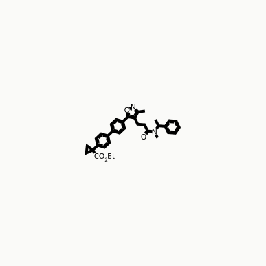 CCOC(=O)C1(c2ccc(-c3ccc(-c4onc(C)c4CCC(=O)N(C)C(C)c4ccccc4)cc3)cc2)CC1